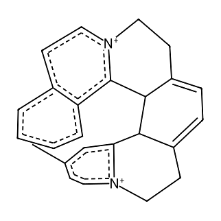 Cc1cc[n+]2c(c1)C1C(=CC=C3CC[n+]4ccc5ccccc5c4C31)CC2